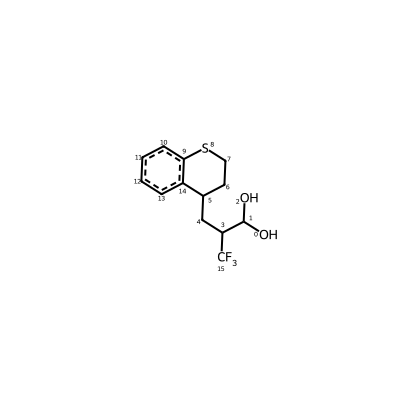 OC(O)C(CC1CCSc2ccccc21)C(F)(F)F